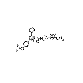 Cc1nnc(N2CCN(C(=O)Cn3nc(-c4ccc(OC(F)F)cc4)cc3-c3ccccc3)CC2)o1